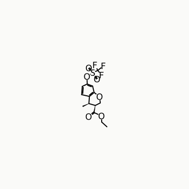 CCOC(=O)[C@@H]1COc2cc(OS(=O)(=O)C(F)(F)F)ccc2[C@@H]1C